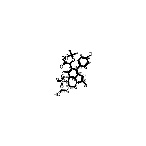 Cc1c(C(OC(C)(C)C)C(=O)O)c(-c2ccc(Cl)cc2)c2cc(C)n3c2c1N(S(C)(=O)=O)[C@@H](CCO)C3